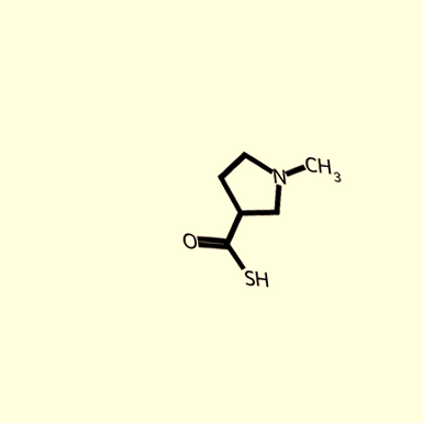 CN1CCC(C(=O)S)C1